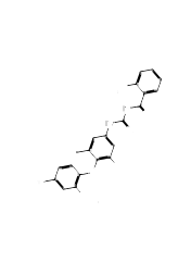 Cc1cc(C(C)(C)C)ccc1Oc1c(Cl)cc(NC(=S)NC(=O)c2ccccc2C)cc1Cl